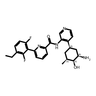 CCc1ccc(F)c(-c2cccc(C(=O)Nc3cnccc3[C@H]3C[C@@H](N)[C@@H](O)[C@@H](C)C3)n2)c1F